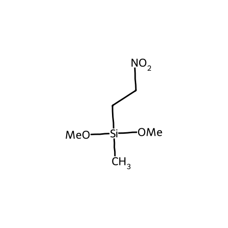 CO[Si](C)(CC[N+](=O)[O-])OC